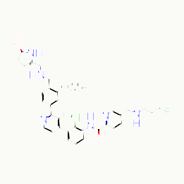 COc1cc(-c2nccc(-c3cccc(NC(=O)c4ccc(CNCCCF)cn4)c3Cl)c2Cl)ccc1CNC[C@H]1CCC(=O)N1